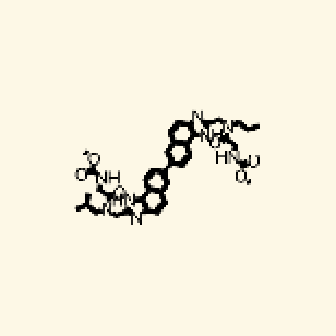 CCCN(Cc1nc2ccc3cc(-c4ccc5c(ccc6nc(CN(CC(C)C)C(=O)CNC(=O)OC)[nH]c65)c4)ccc3c2[nH]1)C(=O)CNC(=O)OC